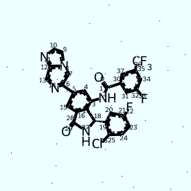 O=C(Nc1cc(-c2cn3ccnc3cn2)cc2c1[C@@H](c1cc(F)ccc1Cl)NC2=O)c1cc(F)cc(C(F)(F)F)c1